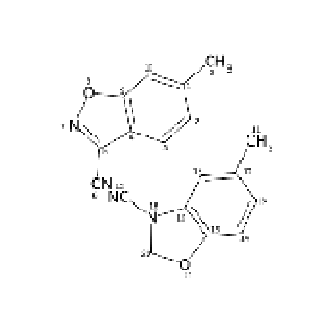 Cc1ccc2c(C#N)noc2c1.Cc1ccc2c(c1)N(C#N)CO2